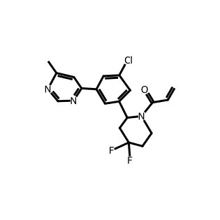 C=CC(=O)N1CCC(F)(F)CC1c1cc(Cl)cc(-c2cc(C)ncn2)c1